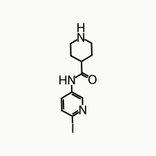 O=C(Nc1ccc(I)nc1)C1CCNCC1